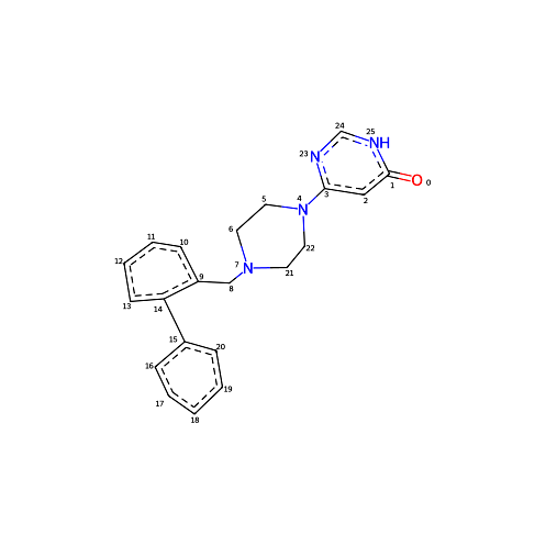 O=c1cc(N2CCN(Cc3ccccc3-c3ccccc3)CC2)nc[nH]1